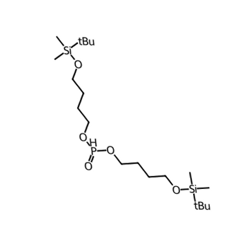 CC(C)(C)[Si](C)(C)OCCCCO[PH](=O)OCCCCO[Si](C)(C)C(C)(C)C